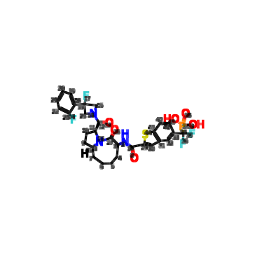 O=C(N[C@H]1CCCC[C@H]2CC[C@@H](C(=O)N3CC(F)(c4ccccc4F)C3)N2C1=O)c1cc2cc(C(F)(F)P(=O)(O)O)ccc2s1